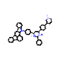 C1=CC(c2ccc(C3=CC(c4ccc(-n5c6ccccc6c6cc7c8c(cccc8c65)-c5ccccc5-7)cc4)NC(c4ccccc4)N3)cc2)=CNC1